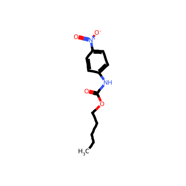 CCCCCOC(=O)Nc1ccc([N+](=O)[O-])cc1